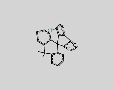 CC1(C)c2ccccc2C2(c3ccccc3-c3cccc(Cl)c32)c2ccccc21